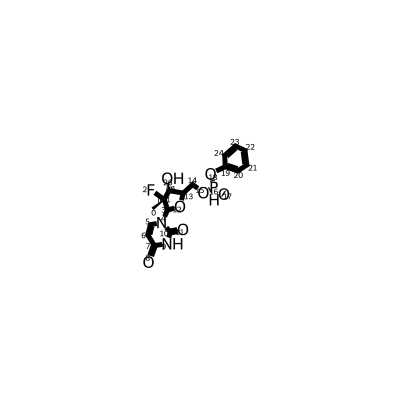 C[C@]1(F)C(n2ccc(=O)[nH]c2=O)OC(CO[PH](=O)Oc2ccccc2)[C@H]1O